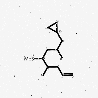 C=CCC(C)C(CC(C)CC1CC1)SC